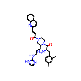 Cc1ccc(C[C@@H](N)C(=O)N2C[C@@H](C)N(C(=O)/C=C/c3ccc4ccccc4n3)C[C@@H]2CCCNc2ncc[nH]2)c(C)c1